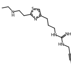 CC#CCNC(=N)NCCCc1csc(CCNCC)n1